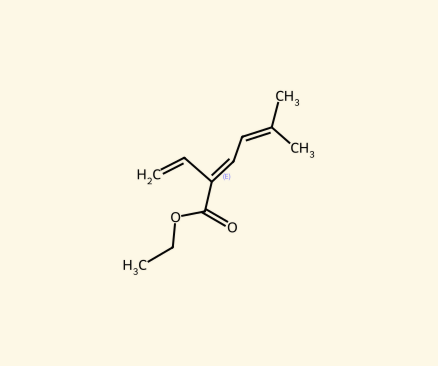 C=C/C(=C\C=C(C)C)C(=O)OCC